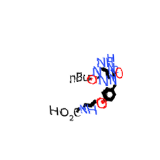 CCCCOc1nc(N)c2[nH]c(=O)n(Cc3ccc(OCCCNCC(=O)O)cc3)c2n1